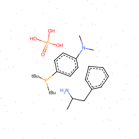 CC(N)Cc1ccccc1.CN(C)c1ccc(P(C(C)(C)C)C(C)(C)C)cc1.O=P(O)(O)O